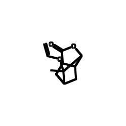 C=COC1(C)C2CC3C(=O)OC1C3C2